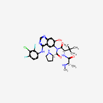 CN[C@@H](C)C(=O)N[C@H](C(=O)N(C(=O)[C@@H]1CCCN1)c1cc2c(Nc3ccc(F)c(Cl)c3F)ncnc2cc1O)C(C)(C)C